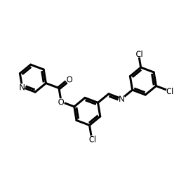 O=C(Oc1cc(Cl)cc(C=Nc2cc(Cl)cc(Cl)c2)c1)c1cccnc1